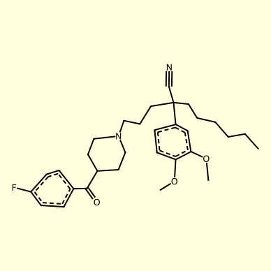 CCCCCCC(C#N)(CCCN1CCC(C(=O)c2ccc(F)cc2)CC1)c1ccc(OC)c(OC)c1